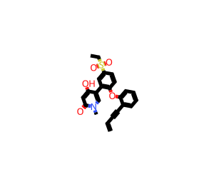 C=CC#Cc1ccccc1Oc1ccc(S(=O)(=O)CC)cc1-c1cn(C)c(=O)cc1O